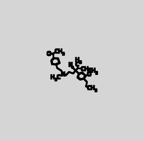 CCCc1ccc(C(C#N)(CCCN(C)CCc2ccc(C(C)=O)cc2)C(C)C)cc1OC